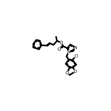 CC(CC=Cc1ccccc1)OC(=O)c1cncn1Cc1cc2c(cc1Cl)OCO2